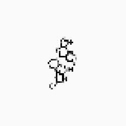 Cc1cc(C(=O)N2CCC[C@@H](C)[C@H]2CNc2ncc(Cl)cn2)c(-c2ccnn2C)cn1